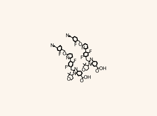 CC1(C)COCCC1n1c(Cc2cc(F)c(-c3cccc(OCc4ccc(C#N)cc4F)n3)cc2F)nc2ccc(C(=O)O)cc21.CC1(C)COCCC1n1c(Cc2cc(F)c(-c3cccc(OCc4ccc(C#N)cc4F)n3)cc2F)nc2ccc(C(=O)O)cc21